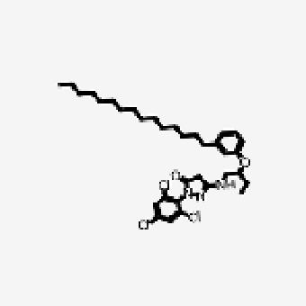 CCCCCCCCCCCCCCCc1cccc(OC(CC)CNC2=NN(c3c(Cl)cc(Cl)cc3Cl)C(=O)C2)c1